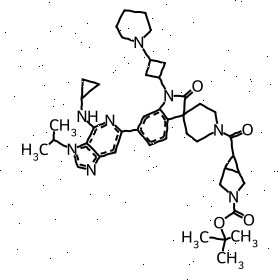 CC(C)n1cnc2cc(-c3ccc4c(c3)N(C3CC(N5CCCCC5)C3)C(=O)C43CCN(C(=O)C4C5CN(C(=O)OC(C)(C)C)CC54)CC3)nc(NC3CC3)c21